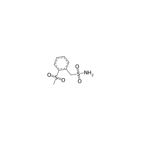 CS(=O)(=O)c1ccccc1CS(N)(=O)=O